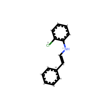 Clc1ccccc1NC=Cc1ccccc1